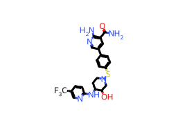 NC(=O)c1cc(-c2ccc(SN3CCC(Nc4ccc(C(F)(F)F)cn4)C(O)C3)cc2)cnc1N